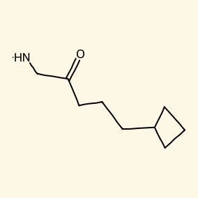 [NH]CC(=O)CCCC1CCC1